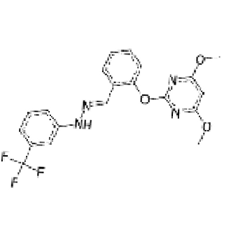 COc1cc(OC)nc(Oc2ccccc2C=NNc2cccc(C(F)(F)F)c2)n1